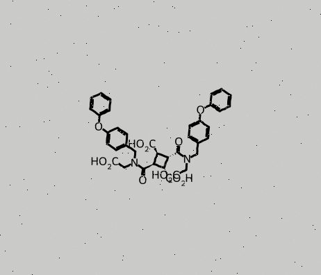 O=C(O)CN(Cc1ccc(Oc2ccccc2)cc1)C(=O)[C@H]1[C@H](C(=O)O)[C@H](C(=O)N(CC(=O)O)Cc2ccc(Oc3ccccc3)cc2)[C@H]1C(=O)O